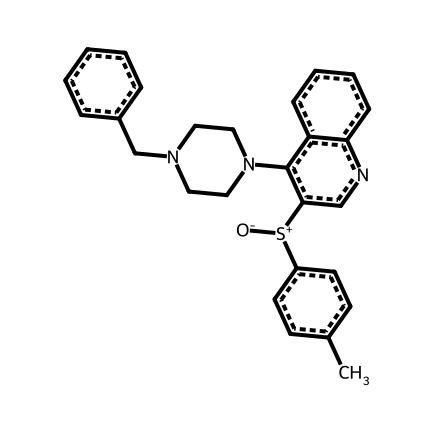 Cc1ccc([S+]([O-])c2cnc3ccccc3c2N2CCN(Cc3ccccc3)CC2)cc1